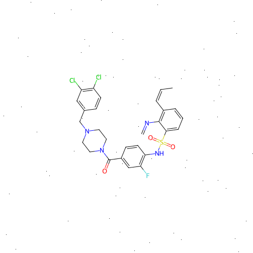 C=Nc1c(/C=C\C)cccc1S(=O)(=O)Nc1ccc(C(=O)N2CCN(Cc3ccc(Cl)c(Cl)c3)CC2)cc1F